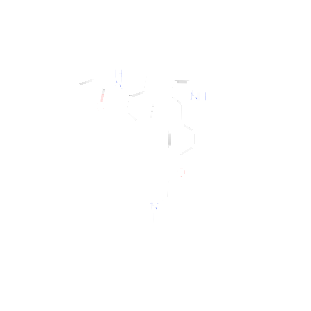 C=CC(=O)Nc1cccc(-c2cc[nH]c2-c2ccc(OCCN(C)C)cc2)c1C